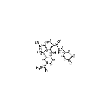 CCNc1ncc(C(=O)NCc2ccc(C)c(C)c2)c(NC2CCN(C(N)=O)CC2)c1C=N